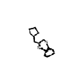 c1ccc2nc(CC3CCCC3)cnc2c1